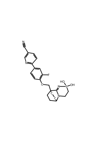 N#Cc1ccc(-c2ccc(OCC34CCC(CC3)N3CCS(O)(O)N=C34)c(F)c2)nc1